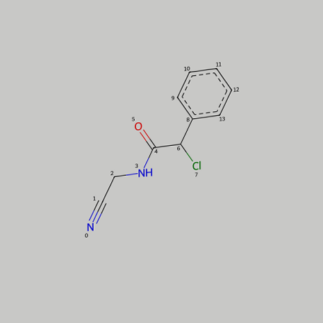 N#CCNC(=O)C(Cl)c1ccccc1